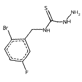 NNC(=S)NCc1cc(F)ccc1Br